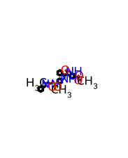 COC(=O)c1ccc2c(c1)NC(=O)C2=C(Nc1ccc(N(CCCN(C)Cc2ccccc2)S(C)(=O)=O)cc1)c1ccccc1